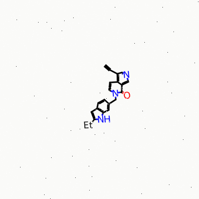 C#Cc1cncc2c(=O)n(Cc3ccc4cc(CC)[nH]c4c3)ccc12